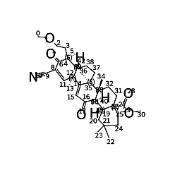 COCC[C@]1(C)C(=O)C(C#N)=C[C@]2(C)C3=CC(=O)[C@@H]4[C@@H]5CC(C)(C)CC[C@]5(C(=O)OC)CC[C@@]4(C)[C@]3(C)CC[C@H]21